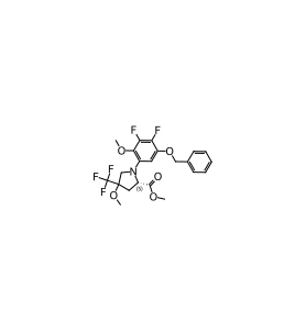 COC(=O)[C@@H]1CC(OC)(C(F)(F)F)CN1c1cc(OCc2ccccc2)c(F)c(F)c1OC